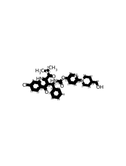 CN(C)C(=O)c1[nH]c2cc(Cl)ccc2c(=O)c1C(NC(=O)Oc1ccc(N2CCC(CO)CC2)nc1)c1ccccc1